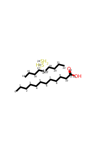 CCCCCCCCCCCC(=O)O.CCC[CH2][Sn][CH2]CCC.S.S